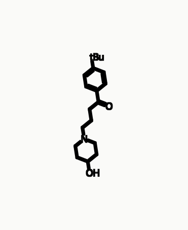 CC(C)(C)c1ccc(C(=O)CCCN2CCC(O)CC2)cc1